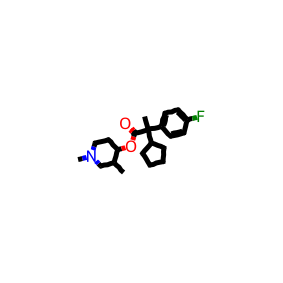 CC1CN(C)CCC1OC(=O)C(C)(c1ccc(F)cc1)C1CCCC1